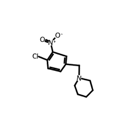 O=[N+]([O-])c1cc(CN2CCCCC2)ccc1Cl